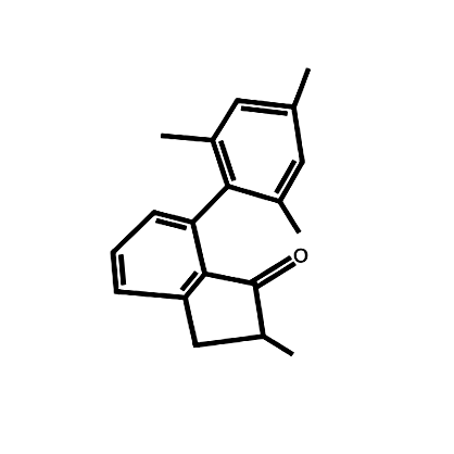 Cc1cc(C)c(-c2cccc3c2C(=O)C(C)C3)c(C)c1